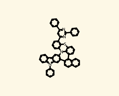 c1ccc(-c2cc(-c3cccc4c3Sc3cccc5c3N4c3cc4c6ccccc6n(-c6ccccc6)c4cc3-c3ccc4ccccc4c3-5)nc(-c3ccccc3)n2)cc1